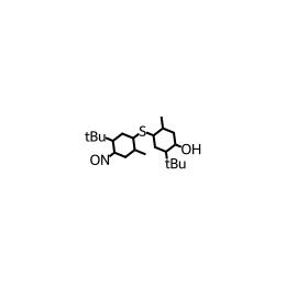 CC1CC(O)C(C(C)(C)C)CC1SC1CC(C(C)(C)C)C(N=O)CC1C